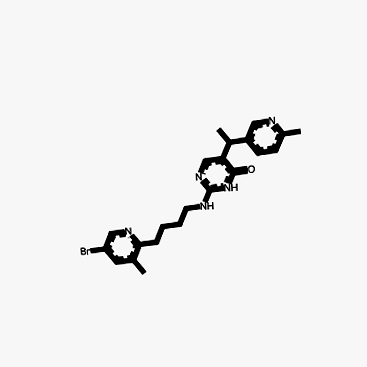 Cc1ccc(C(C)c2cnc(NCCCCc3ncc(Br)cc3C)[nH]c2=O)cn1